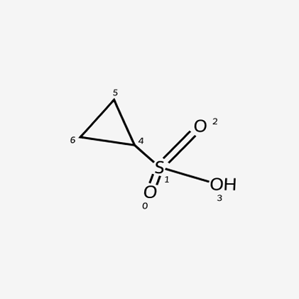 O=S(=O)(O)C1CC1